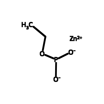 CCOP([O-])[O-].[Zn+2]